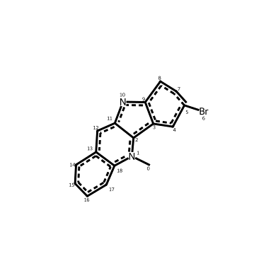 Cn1c2c3cc(Br)ccc3nc-2cc2ccccc21